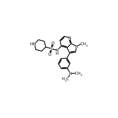 CN(C)c1cccc(-c2cn(C)c3nccc(NS(=O)(=O)C4CCNCC4)c23)c1